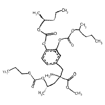 CCCOC(=O)O[C@@H](C)CC(N)(Cc1ccc(OC(=O)O[C@@H](C)CCC)c(OC(=O)OC(C)CCC)c1)C(=O)OC